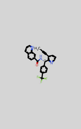 CC#Cc1cccnc1[C@@H](NC(=O)c1ccc2cccnc2c1)c1ccc(C(F)(F)F)cc1